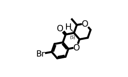 CC1OCCC2Oc3ccc(Br)cc3C(=O)[C@@H]12